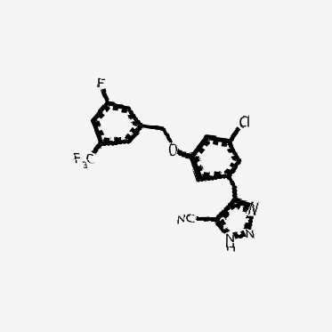 N#Cc1[nH]nnc1-c1cc(Cl)cc(OCc2cc(F)cc(C(F)(F)F)c2)c1